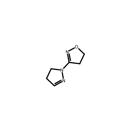 C1=NN(C2=NOCC2)CC1